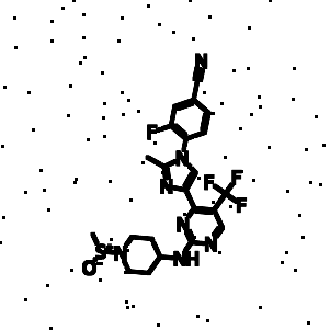 Cc1nc(-c2nc(NC3CCN([S+](C)[O-])CC3)ncc2C(F)(F)F)cn1-c1ccc(C#N)cc1F